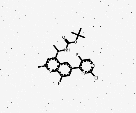 Cc1cc(C(C)NC(=O)OC(C)(C)C)c2cc(-c3nc(Cl)ncc3F)cc(F)c2n1